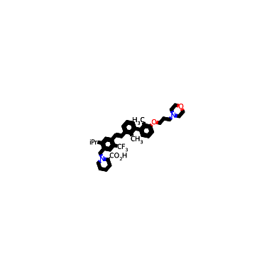 Cc1c(/C=C/c2cc(C(C)C)c(CN3CCCC[C@H]3C(=O)O)cc2C(F)(F)F)cccc1-c1cccc(OCCCN2CCOCC2)c1C